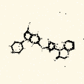 O=C1COc2cccnc2N1c1cc(Nc2cnc3c(F)cn(C4CCNCC4)c3n2)n[nH]1